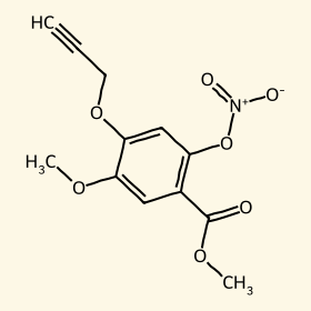 C#CCOc1cc(O[N+](=O)[O-])c(C(=O)OC)cc1OC